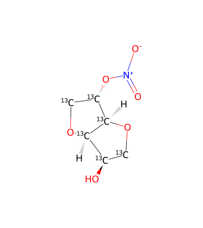 O=[N+]([O-])O[13C@H]1[13CH2]O[13C@H]2[13C@@H]1O[13CH2][13C@H]2O